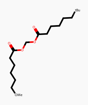 COCCCCCC(=O)OCOC(=O)CCCCCC(C)(C)C